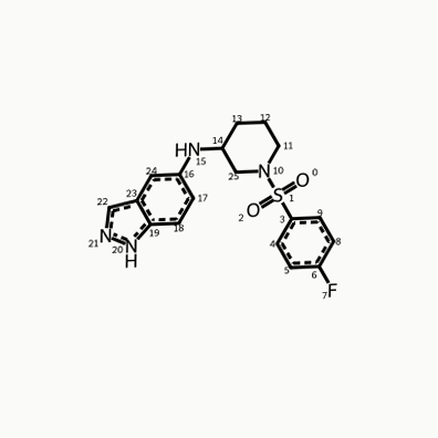 O=S(=O)(c1ccc(F)cc1)N1CCCC(Nc2ccc3[nH]ncc3c2)C1